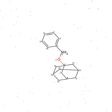 c1ccc([SiH2]OC23CC4CC(CC(C4)C2)C3)cc1